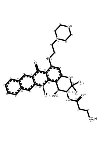 CC(=O)O[C@H]1c2c(cc(NCCN3CCOCC3)c3c(=O)c4cc5ccccc5cc4n(C)c23)OC(C)(C)[C@H]1OC(=O)CCC(=O)O